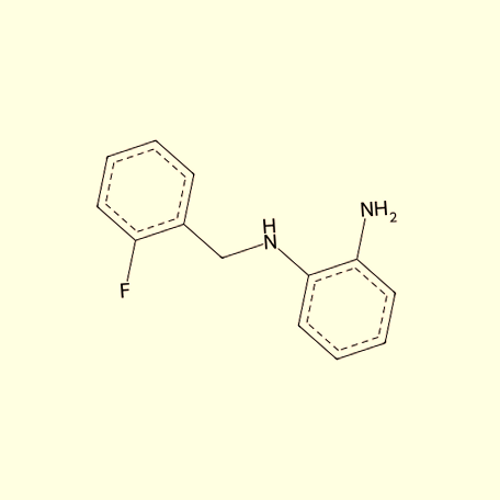 Nc1ccccc1NCc1ccccc1F